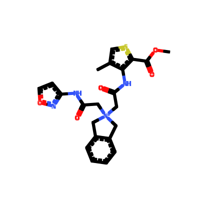 COC(=O)c1scc(C)c1NC(=O)C[N+]1(CC(=O)Nc2ccon2)Cc2ccccc2C1